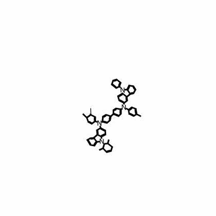 Cc1ccc(N(c2ccc(-c3ccc(N(C4=CC(I)C(C)C=C4)c4ccc5c(c4)c4ccccc4n5C4C(C)C=CCC4C)cc3)cc2)c2ccc3c(c2)c2ccccc2n3-c2ccccc2)cc1